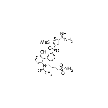 CSc1sc(C(=N)N)cc1S(=O)(=O)c1cccc(-c2c(C)cccc2N(CCCCS(N)(=O)=O)C(=O)C(F)(F)F)c1